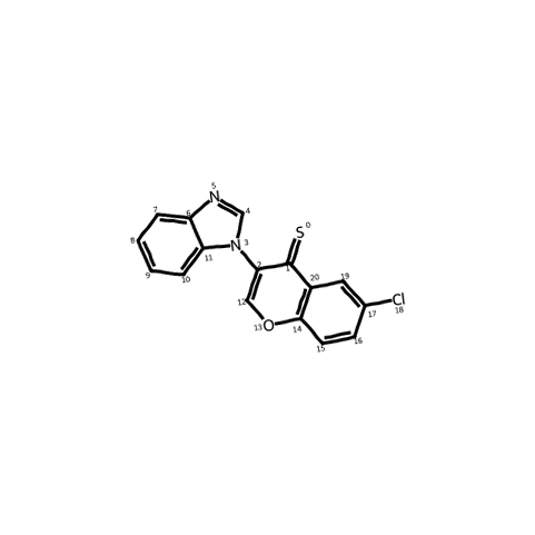 S=c1c(-n2cnc3ccccc32)coc2ccc(Cl)cc12